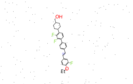 CCOc1ccc(/C=C/c2ccc(-c3ccc(C4CCC(CO)CC4)c(F)c3F)cc2)cc1F